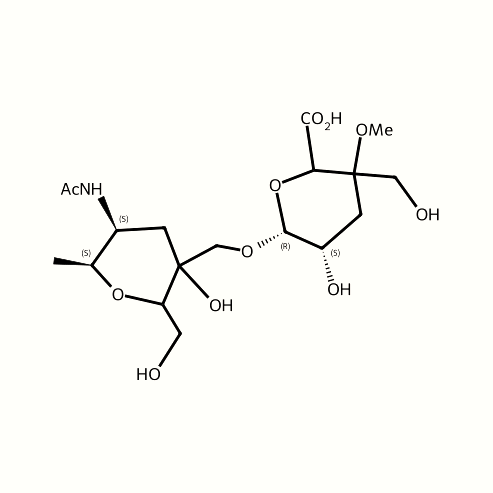 COC1(CO)C[C@H](O)[C@H](OCC2(O)C[C@H](NC(C)=O)[C@H](C)OC2CO)OC1C(=O)O